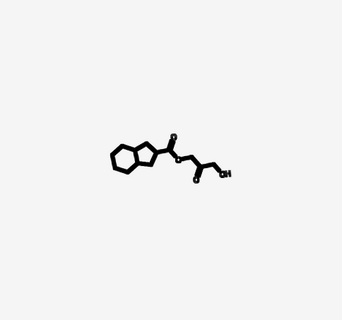 O=C(CO)COC(=O)C1CC2CCCCC2C1